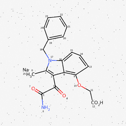 Cc1c(C(=O)C(N)=O)c2c(OCC(=O)O)cccc2n1Cc1ccccc1.[Na]